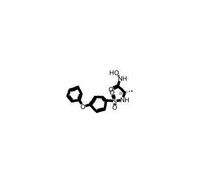 C[C@H](NS(=O)(=O)c1ccc(Oc2ccccc2)cc1)C(=O)NO